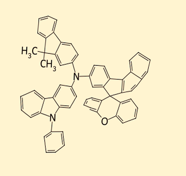 CC1(C)c2ccccc2-c2ccc(N(c3ccc4c(c3)C3(c5ccccc5Oc5ccccc53)c3ccc5ccccc5c3-4)c3ccc4c(c3)c3ccccc3n4-c3ccccc3)cc21